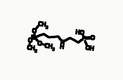 CO[Si](CCCNCCP(=O)(O)O)(OC)OC